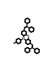 Cc1ccc(N2c3ccc(C=C(c4ccccc4)c4ccccc4)cc3Sc3cc(C=C(c4ccccc4)c4ccccc4)ccc32)cc1